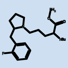 BOC(=O)C(CCCC)CCCN1CCCC1Cc1ccccc1F